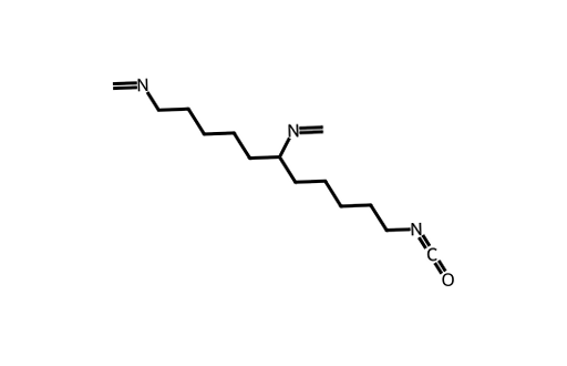 C=NCCCCCC(CCCCCN=C=O)N=C